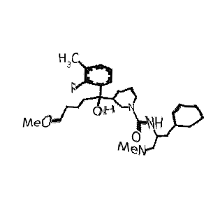 CNCC(CC1CCCCC1)NC(=O)N1CCCC(C(O)(CCCCOC)c2cccc(C)c2F)C1